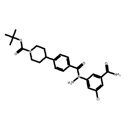 CC(C)(C)OC(=O)N1CCC(c2ccc(C(=O)N(N)c3cc(Cl)cc(C(N)=O)c3)cc2)CC1